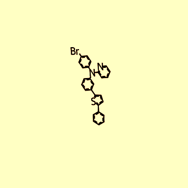 Brc1ccc(N(c2cccc(-c3ccc(-c4ccccc4)s3)c2)c2ccccn2)cc1